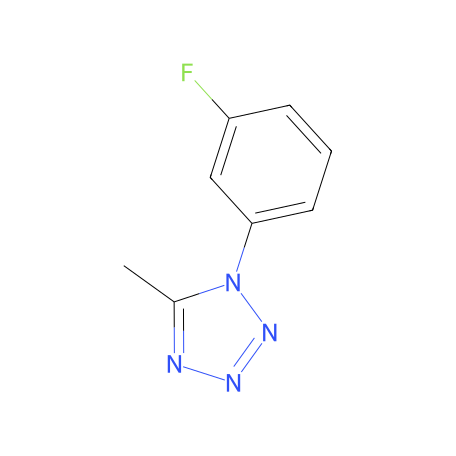 Cc1nnnn1-c1cccc(F)c1